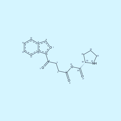 O=C(CCC(=O)c1occ2ccccc12)OC(=O)[C@@H]1CCCN1